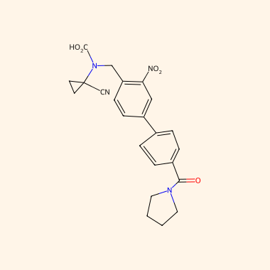 N#CC1(N(Cc2ccc(-c3ccc(C(=O)N4CCCC4)cc3)cc2[N+](=O)[O-])C(=O)O)CC1